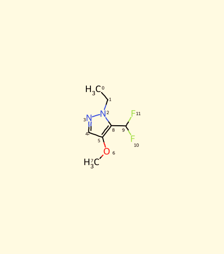 CCn1n[c]c(OC)c1C(F)F